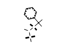 O=S(=O)(N(F)S(=O)(=O)C(F)(F)c1ccccc1)C(F)(F)F